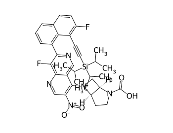 CC(C)[Si](C#Cc1c(F)ccc2cccc(-c3ncc4c(N5C[C@@H]6[C@H]5CCN6C(=O)O)c([N+](=O)[O-])cnc4c3F)c12)(C(C)C)C(C)C